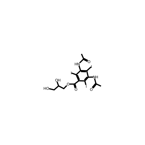 CC(=O)Nc1c(I)c(NC(C)=O)c(I)c(C(=O)OCC(O)CO)c1I